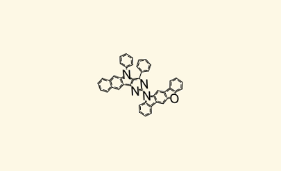 c1ccc(-c2nc(-n3c4ccccc4c4cc5oc6ccccc6c5cc43)nc3c4cc5ccccc5cc4n(-c4ccccc4)c23)cc1